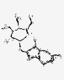 OC[C@H]1O[C@@H](Oc2[nH]c3ccc(Br)cc3c2Cl)[C@H](O)[C@@H](O)[C@H]1O